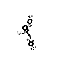 Cc1cc(S(C)(=O)=O)ccc1NCC#Cc1cc2c(N[C@H]3CC[C@H](N(C)C)CC3)cccc2n1CC(F)(F)F